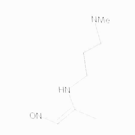 CNCCCN/C(C)=C\N=O